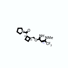 CN/C(=C\C(=N)OC[C@H]1CC[C@@H]1C(=O)N1CCCC1)C(F)(F)F